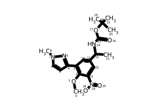 COc1c(-c2ccn(C)n2)cc(C(C)NC(=O)OC(C)(C)C)cc1[N+](=O)[O-]